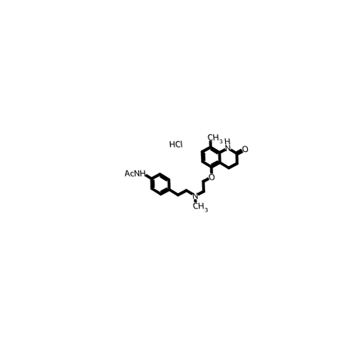 CC(=O)Nc1ccc(CCN(C)CCOc2ccc(C)c3c2CCC(=O)N3)cc1.Cl